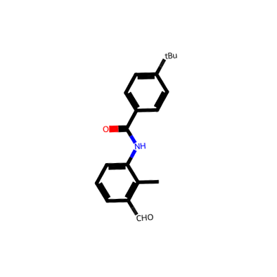 Cc1c(C=O)cccc1NC(=O)c1ccc(C(C)(C)C)cc1